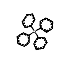 c1cc[c]([Zr]([c]2ccccc2)([c]2ccccc2)[c]2ccccc2)cc1